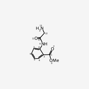 COC(=O)c1ccccc1NC(=O)CN